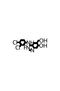 OCc1cc2c(Nc3ccc(Cl)c(Cl)c3F)ncnc2cc1O